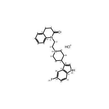 Cl.O=C1CCc2ccccc2N1CCN1CCC(c2c[nH]c3ccc(F)cc23)CC1